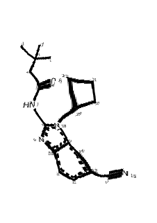 CC(C)(C)CC(=O)Nc1nc2ccc(C#N)cc2n1C1CCC1